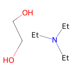 CCN(CC)CC.OCCO